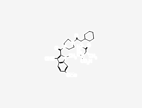 COc1ccc2c(C=O)c(C(=O)N3CCN(C(=O)[C@@H](NC(=O)[C@H](C)N(C)C(=O)O)C4CCCCC4)CC3)n(C)c2c1